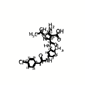 Cc1ncc(NC(=O)Cc2ccc(Cl)cc2)cc1NC(=O)c1nn(C(C)C)c(N)c1C(=O)O